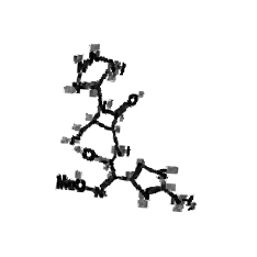 CO/N=C(\C(=O)NC1C(=O)N(c2nnn[nH]2)C1CF)c1csc(N)n1